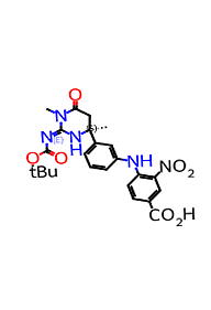 CN1C(=O)C[C@@](C)(c2cccc(Nc3ccc(C(=O)O)cc3[N+](=O)[O-])c2)N/C1=N\C(=O)OC(C)(C)C